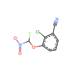 N#Cc1cccc(OC(F)[N+](=O)[O-])c1Cl